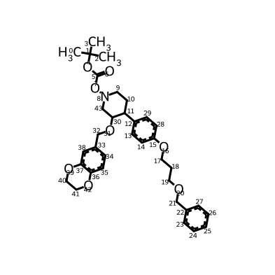 CC(C)(C)OC(=O)ON1CCC(c2ccc(OCCCOCc3ccccc3)cc2)C(OCc2ccc3c(c2)OCCO3)C1